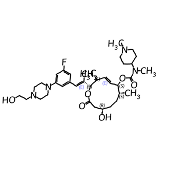 C/C(=C\c1cc(F)cc(N2CCN(CCO)CC2)c1)[C@H]1OC(=O)C[C@H](O)CC[C@H](C)[C@H](OC(=O)N(C)C2CCN(C)CC2)/C=C/[C@@H]1C